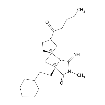 CCCCC(=O)N1CC[C@]2(C1)C[C@@]1(CCC3CCCCC3)C(=O)N(C)C(=N)N21